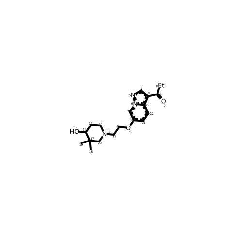 CCC(=O)c1cnn2cc(OCCN3CCC(O)C(C)(C)C3)ccc12